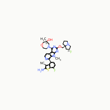 Cn1c2nc(OC[C@@]34CCCN3C[C@H](F)C4)nc(N3CCOC[C@@](C)(O)C3)c2c2ccnc(-c3ccc(F)c4sc(N)c(C#N)c34)c21